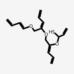 C=C/C=C(/CO/C(=C/C=C)CO/C=C/C=C)OC(S)C=C